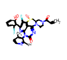 C=CC(=O)N1CCN2c3nc(=O)n(-c4c(C)ccnc4C(C)C)c4nc(-c5c(O)cccc5F)c(F)c(c34)[S+]([O-])CC2C1